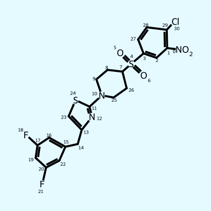 O=[N+]([O-])c1cc(S(=O)(=O)C2CCN(c3nc(Cc4cc(F)cc(F)c4)cs3)CC2)ccc1Cl